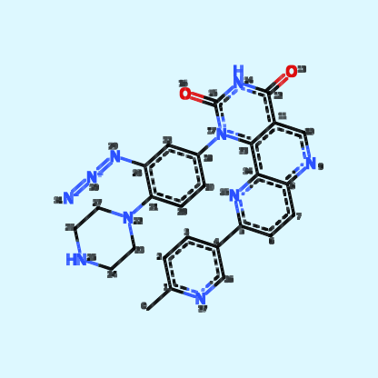 Cc1ccc(-c2ccc3ncc4c(=O)[nH]c(=O)n(-c5ccc(N6CCNCC6)c(N=[N+]=[N-])c5)c4c3n2)cn1